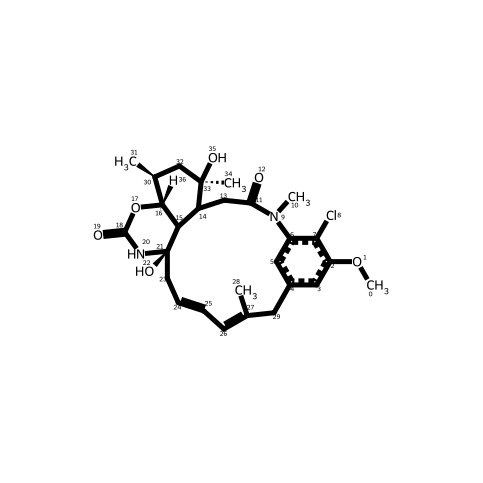 COc1cc2cc(c1Cl)N(C)C(=O)CC1C3[C@H](OC(=O)N[C@@]3(O)C/C=C/C=C(\C)C2)[C@@H](C)C[C@@]1(C)O